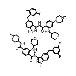 CN1CCC(NC(=O)c2ccc(C(=O)Nc3n[nH]c4ccc(Cc5cc(F)cc(F)c5)cc34)c(NC3CCOCC3)c2)CC1.Cc1ccc(F)cc1Cc1ccc2[nH]nc(NC(=O)c3ccc(N4CCN(C)CC4)cc3NC3CCOCC3)c2c1